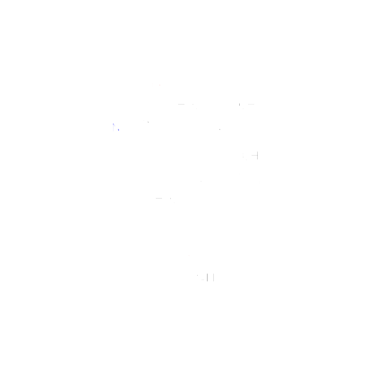 CC(C)(C)/C(=C1/CNC1=O)C(C)(C)CO[SiH3]